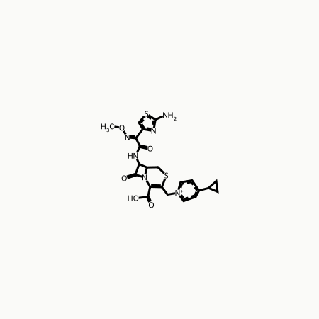 CON=C(C(=O)NC1C(=O)N2C(C(=O)O)=C(C[n+]3ccc(C4CC4)cc3)SCC12)c1csc(N)n1